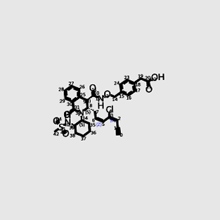 C#C/C=C(Cl)\C=C/C[C@H]1[C@H](C(=O)NOCc2ccc(CC(=O)O)cc2)c2ccccc2C(=O)N1[C@H]1CCCC[C@@H]1NS(C)(=O)=O